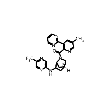 Cc1cnc(C(=O)N2C[C@H]3CC(Nc4cnc(C(F)(F)F)cn4)C2C3)c(-c2ncccn2)c1